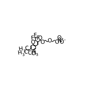 CC(C)(C)c1cc2c(cc1Cl)C=C(C(=O)OCCOCCO[N+](=O)[O-])C(C(F)(F)F)O2